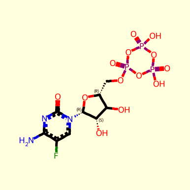 Nc1nc(=O)n([C@@H]2O[C@H](COP3(=O)OP(=O)(O)OP(=O)(O)O3)C(O)[C@@H]2O)cc1F